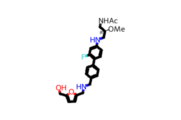 CO[C@@H](CNC(C)=O)CNc1ccc(-c2ccc(CNCc3ccc(CO)o3)cc2)c(F)c1